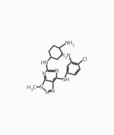 Cn1nnc2c(Nc3ccc(Cl)c(N)c3)nc(NC3CCC(N)CC3)nc21